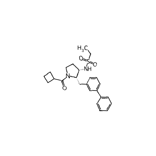 CCS(=O)(=O)N[C@H]1CCN(C(=O)C2CCC2)[C@H]1Cc1cccc(-c2ccccc2)c1